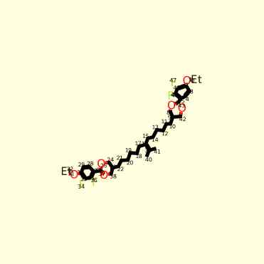 CCOc1ccc(C2OCC(CCCCCCC(CCCCCCC3COC(c4ccc(OCC)c(F)c4F)OC3)=C(C)C)CO2)c(F)c1F